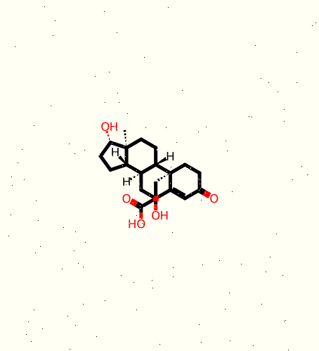 C[C@]12CC[C@H]3[C@@H](CC(O)C4=CC(=O)CC[C@@]43CCC(=O)O)[C@@H]1CC[C@@H]2O